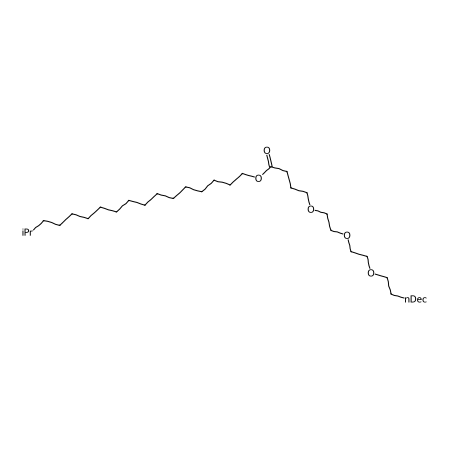 CCCCCCCCCCCCOCCOCCOCCCC(=O)OCCCCCCCCCCCCCCCC(C)C